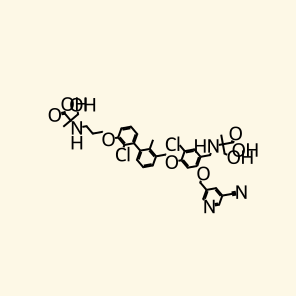 Cc1c(COc2cc(OCc3cncc(C#N)c3)c(CNC(C)(CO)C(=O)O)cc2Cl)cccc1-c1cccc(OCCCNC(C)(CO)C(=O)O)c1Cl